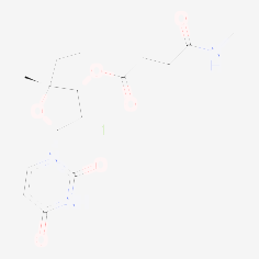 CC[C@@]1(C)O[C@@H](n2ccc(=O)[nH]c2=O)[C@@H](F)C1OC(=O)CCC(=O)NC